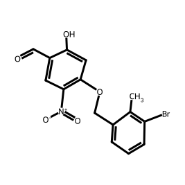 Cc1c(Br)cccc1COc1cc(O)c(C=O)cc1[N+](=O)[O-]